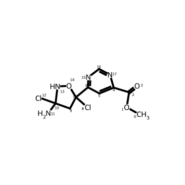 COC(=O)c1cc(C2(Cl)CC(N)(Cl)NO2)ncn1